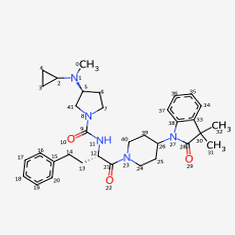 CN(C1CC1)[C@H]1CCN(C(=O)N[C@@H](CCc2ccccc2)C(=O)N2CCC(N3C(=O)C(C)(C)c4ccccc43)CC2)C1